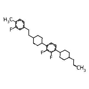 CCCC1CCC(c2ccc(C3CCC(CCc4ccc(C)c(F)c4)CC3)c(F)c2F)CC1